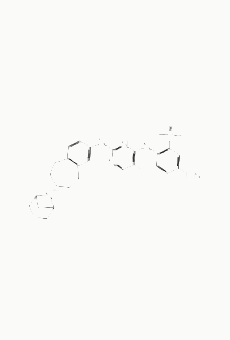 CP(C)(=O)c1cc(C#N)ccc1Nc1nc(Nc2ccc3c(c2)CC[C@@H](N2C4COCC2C4)CC3)ncc1Cl